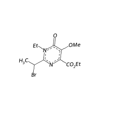 CCOC(=O)c1nc(C(C)Br)n(CC)c(=O)c1OC